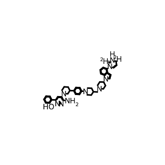 [2H]C1C=CN(c2cccc3c2ccn3C2CCN(CC3CCN(c4ccc(C5CCCN(c6cc(-c7ccccc7O)nnc6N)C5)cc4)CC3)CC2)[C@H]([2H])N1